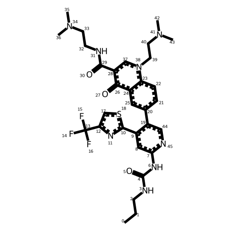 CCCNC(=O)Nc1cc(-c2nc(C(F)(F)F)cs2)c(-c2ccc3c(c2)c(=O)c(C(=O)NCCN(C)C)cn3CCN(C)C)cn1